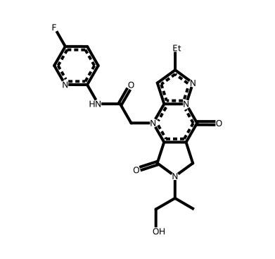 CCc1cc2n(CC(=O)Nc3ccc(F)cn3)c3c(c(=O)n2n1)CN(C(C)CO)C3=O